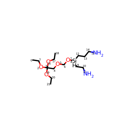 CCOC(COCO[SiH](CCN)CCCN)(OCC)OCC